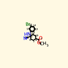 COC(=O)C1CCC(C#N)(Nc2cccc(Br)c2)CC1